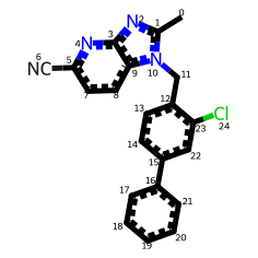 Cc1nc2nc(C#N)ccc2n1Cc1ccc(-c2ccccc2)cc1Cl